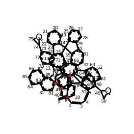 C=C1/C=C\C=C/CC2(c3cc(-c4ccc5c(c4)C4(c6ccccc6-5)c5ccccc5-c5ccc(N(C6=c7ccccc7=CCC6)c6ccc(C7CO7)cc6)cc54)ccc31)c1ccccc1-c1ccc(N(c3ccc(C4CO4)cc3)c3cccc4ccccc34)cc12